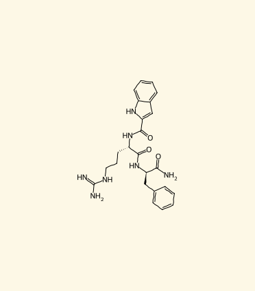 N=C(N)NCCC[C@H](NC(=O)c1cc2ccccc2[nH]1)C(=O)N[C@H](Cc1ccccc1)C(N)=O